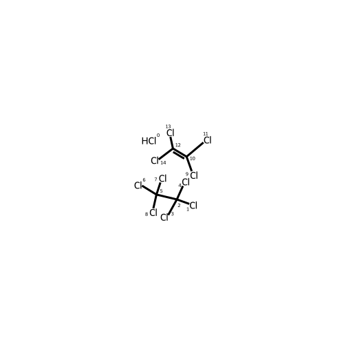 Cl.ClC(Cl)(Cl)C(Cl)(Cl)Cl.ClC(Cl)=C(Cl)Cl